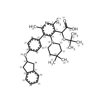 Cc1nc(C)c(C(OC(C)(C)C)C(=O)O)c(N2CCC(C)(C)CC2)c1-c1ccc(OC2Cc3ccccc3C2)cc1